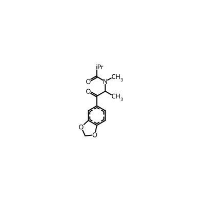 CC(C)C(=O)N(C)C(C)C(=O)c1ccc2c(c1)OCO2